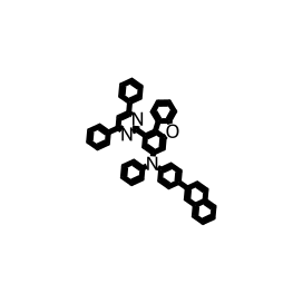 c1ccc(-c2cc(-c3ccccc3)nc(-c3cc(N(c4ccccc4)c4ccc(-c5ccc6ccccc6c5)cc4)cc4oc5ccccc5c34)n2)cc1